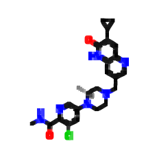 CNC(=O)c1ncc(N2CCN(Cc3cnc4cc(C5CC5)c(=O)[nH]c4c3)C[C@H]2C)cc1Cl